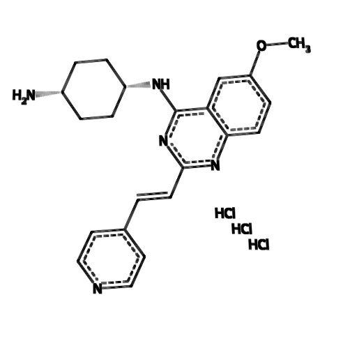 COc1ccc2nc(C=Cc3ccncc3)nc(N[C@H]3CC[C@@H](N)CC3)c2c1.Cl.Cl.Cl